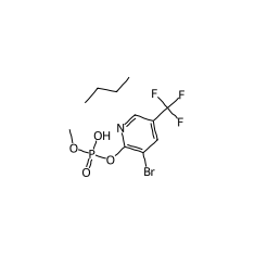 CCCC.COP(=O)(O)Oc1ncc(C(F)(F)F)cc1Br